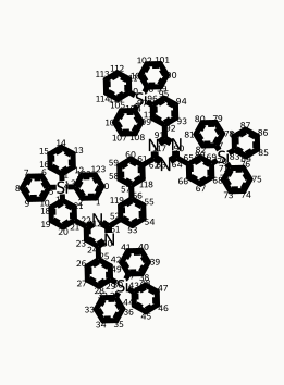 c1ccc([Si](c2ccccc2)(c2ccccc2)c2cccc(-c3cc(-c4cccc([Si](c5ccccc5)(c5ccccc5)c5ccccc5)c4)nc(-c4cccc(-c5cccc(-c6nc(-c7cccc([Si](c8ccccc8)(c8ccccc8)c8ccccc8)c7)nc(-c7cccc([Si](c8ccccc8)(c8ccccc8)c8ccccc8)c7)n6)c5)c4)n3)c2)cc1